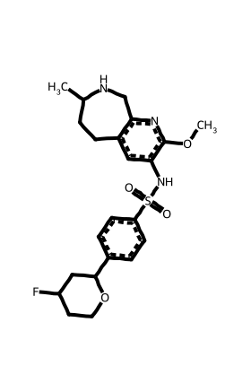 COc1nc2c(cc1NS(=O)(=O)c1ccc(C3CC(F)CCO3)cc1)CCC(C)NC2